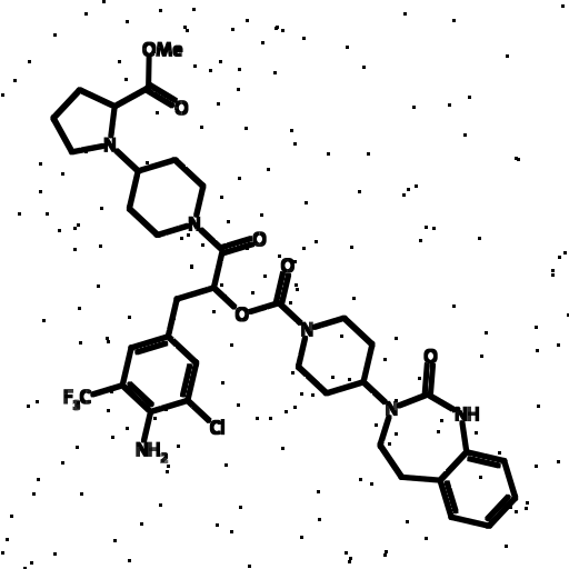 COC(=O)C1CCCN1C1CCN(C(=O)C(Cc2cc(Cl)c(N)c(C(F)(F)F)c2)OC(=O)N2CCC(N3CCc4ccccc4NC3=O)CC2)CC1